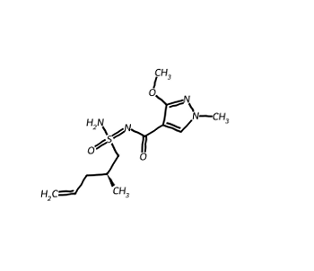 C=CC[C@H](C)CS(N)(=O)=NC(=O)c1cn(C)nc1OC